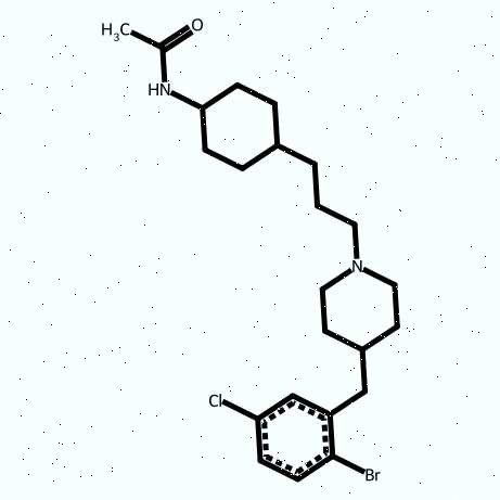 CC(=O)NC1CCC(CCCN2CCC(Cc3cc(Cl)ccc3Br)CC2)CC1